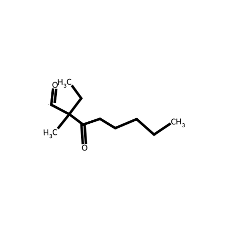 CCCCCC(=O)C(C)([C]=O)CC